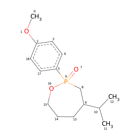 COc1ccc(P2(=O)CC(C(C)C)CCCO2)cc1